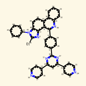 CCc1nc2c3c(-c4ccc(-c5nc(-c6ccncc6)cc(-c6ccncc6)n5)cc4)nc4ccccc4c3ccc2n1-c1ccccc1